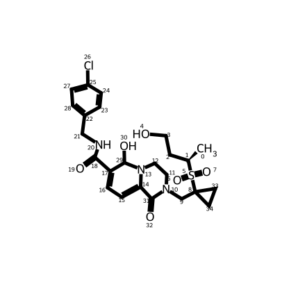 C[C@H](CCO)S(=O)(=O)C1(CN2CCN3C(=CC=C(C(=O)NCc4ccc(Cl)cc4)C3O)C2=O)CC1